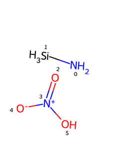 N[SiH3].O=[N+]([O-])O